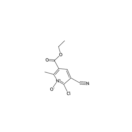 CCOC(=O)c1cc(C#N)c(Cl)[n+]([O-])c1C